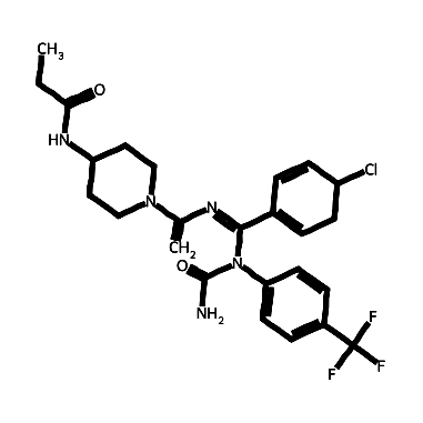 C=C(/N=C(/C1=CCC(Cl)C=C1)N(C(N)=O)c1ccc(C(F)(F)F)cc1)N1CCC(NC(=O)CC)CC1